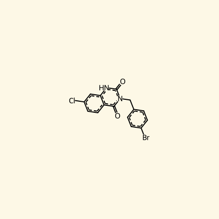 O=c1[nH]c2cc(Cl)ccc2c(=O)n1Cc1ccc(Br)cc1